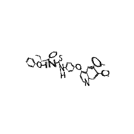 CCC(Oc1ccccc1)C(=O)NC(=S)Nc1ccc(Oc2ccnc3cc(OC)c(OC)cc23)cc1